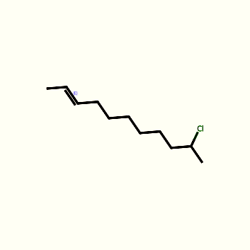 C/C=C/CCCCCCC(C)Cl